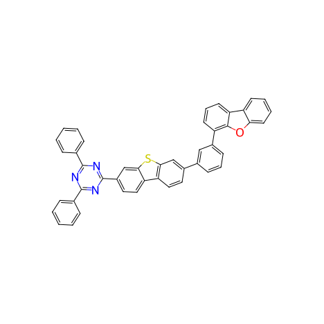 c1ccc(-c2nc(-c3ccccc3)nc(-c3ccc4c(c3)sc3cc(-c5cccc(-c6cccc7c6oc6ccccc67)c5)ccc34)n2)cc1